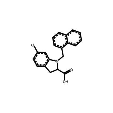 O=C(O)C1Cc2ccc(Cl)cc2N1Cc1cccc2ccccc12